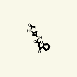 O=C(I)NC12CC(NC(=O)c3cc(=O)c4ccccc4o3)(C1)C2